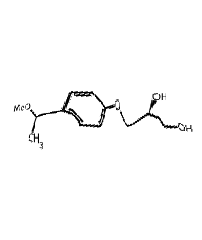 COC(C)c1ccc(OC[C@@H](O)CO)cc1